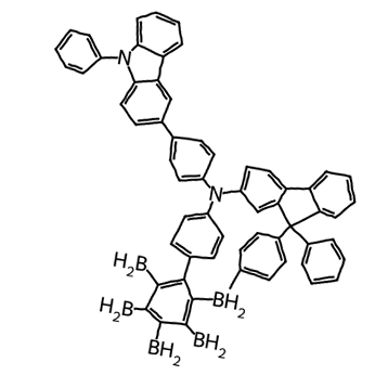 Bc1c(B)c(B)c(-c2ccc(N(c3ccc(-c4ccc5c(c4)c4ccccc4n5-c4ccccc4)cc3)c3ccc4c(c3)C(c3ccccc3)(c3ccc(C)cc3)c3ccccc3-4)cc2)c(B)c1B